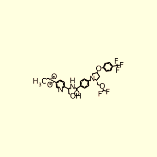 CCS(=O)(=O)c1ccc(C(CO)NC(=O)c2ccc(N3C[C@@H](Oc4ccc(C(F)(F)F)cc4)C[C@H]3COC(F)F)cc2)nc1